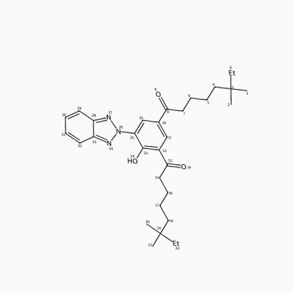 CCC(C)(C)CCCCC(=O)c1cc(C(=O)CCCCC(C)(C)CC)c(O)c(-n2nc3ccccc3n2)c1